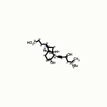 CCCC[C@@H](C)CC(O)C#C[C@@H]1[C@H]2C/C(=C/CCC(=O)O)[C@H]2CC[C@H]1O